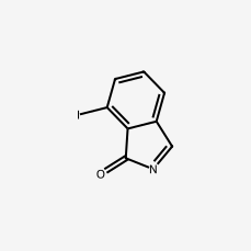 O=C1N=Cc2cccc(I)c21